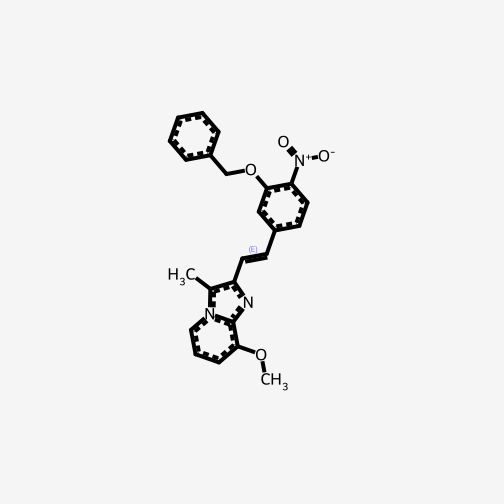 COc1cccn2c(C)c(/C=C/c3ccc([N+](=O)[O-])c(OCc4ccccc4)c3)nc12